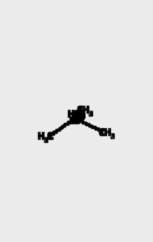 CCCCCCCCCCCCCCCCOCC(COP(=O)(O)OCC)OC(=O)CCCCCCCCCCCCCCC